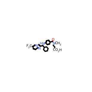 CN(CCC(=O)O)C(=O)c1ccc(NC(c2cn3cc(C(F)(F)F)ccc3n2)C2CCCCC2)cc1